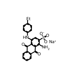 CCc1ccc(Nc2cc(S(=O)(=O)[O-])c(N)c3c2C(=O)c2ccccc2C3=O)cc1.[Na+]